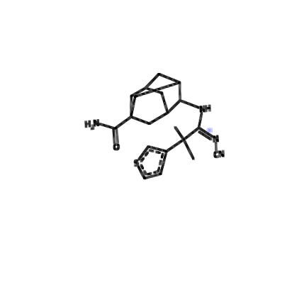 CC(C)(/C(=N\C#N)NC1C2CC3CC1CC(C(N)=O)(C3)C2)c1ccsc1